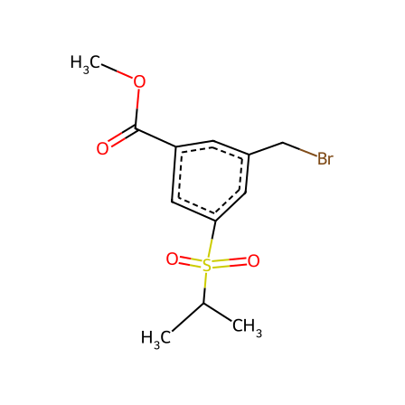 COC(=O)c1cc(CBr)cc(S(=O)(=O)C(C)C)c1